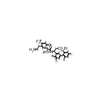 CCOC(=O)CC(NC(=O)C(C(C)C)n1cc(CCN)c(C(F)(F)F)cc1=O)c1cc(-c2c(C)cc(C)cc2C)cc(C)c1F